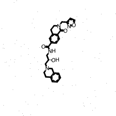 O=C(NC[C@H](O)CN1CCc2ccccc2C1)c1ccc2c(c1)CCN(Cc1ccon1)C2=O